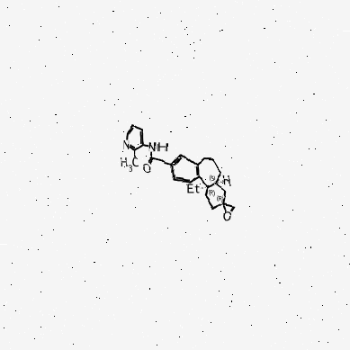 CC[C@@]12CC[C@]3(CO3)C[C@@H]1CCCc1cc(C(=O)Nc3cccnc3C)ccc12